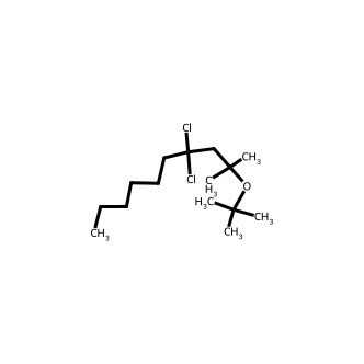 CCCCCCC(Cl)(Cl)CC(C)(C)OC(C)(C)C